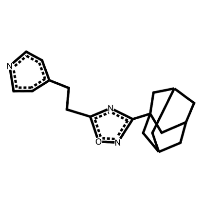 c1cc(CCc2nc(C34CC5CC(CC(C5)C3)C4)no2)ccn1